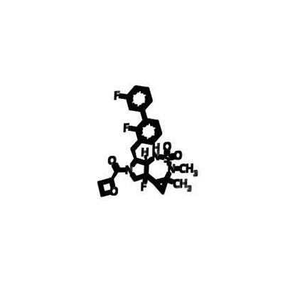 CN1C2(C)CC2C2(F)CN(C(=O)[C@@H]3CCO3)[C@@H](Cc3cccc(-c4cccc(F)c4)c3F)[C@H]2NS1(=O)=O